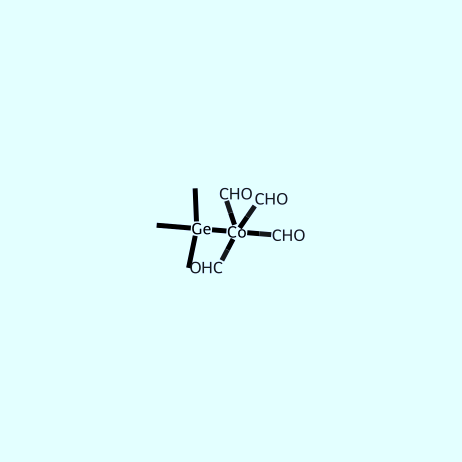 [CH3][Ge]([CH3])([CH3])[Co]([CH]=O)([CH]=O)([CH]=O)[CH]=O